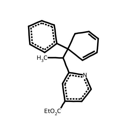 CCOC(=O)c1ccnc(C(C)C2(c3ccccc3)C=CC=CC2)c1